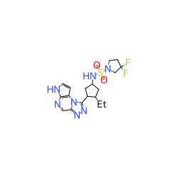 CCC1C[C@H](NS(=O)(=O)N2CCC(F)(F)C2)CC1c1nnc2cnc3[nH]ccc3n12